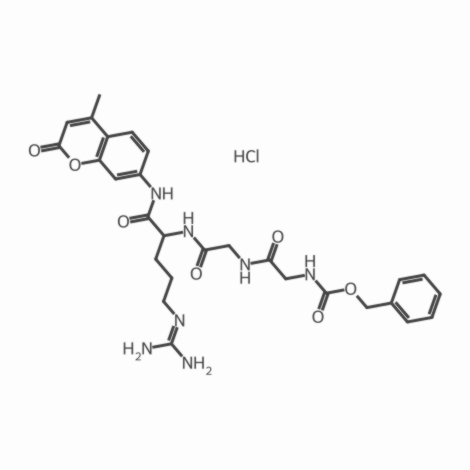 Cc1cc(=O)oc2cc(NC(=O)C(CCCN=C(N)N)NC(=O)CNC(=O)CNC(=O)OCc3ccccc3)ccc12.Cl